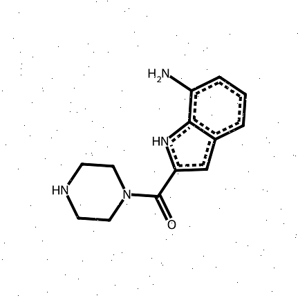 Nc1cccc2cc(C(=O)N3CCNCC3)[nH]c12